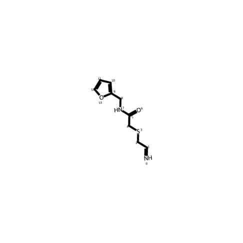 N=CCSCC(=O)NCc1ccco1